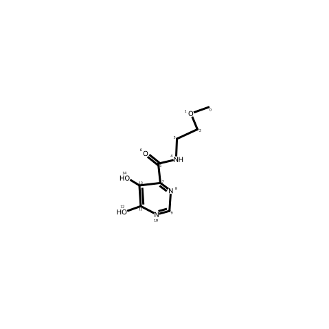 COCCNC(=O)c1ncnc(O)c1O